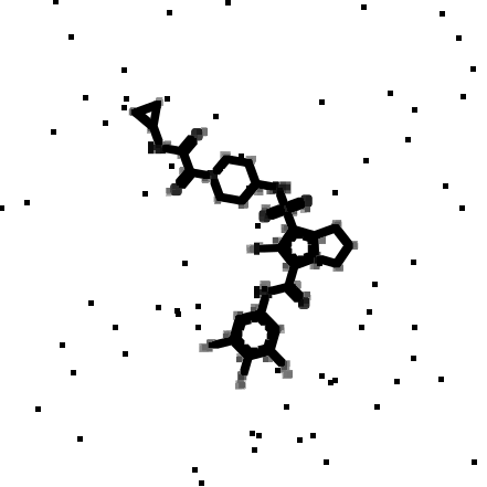 O=C(NC1CC1)C(=O)N1CCC(NS(=O)(=O)c2c(F)c(C(=O)Nc3cc(F)c(F)c(F)c3)n3c2CCC3)CC1